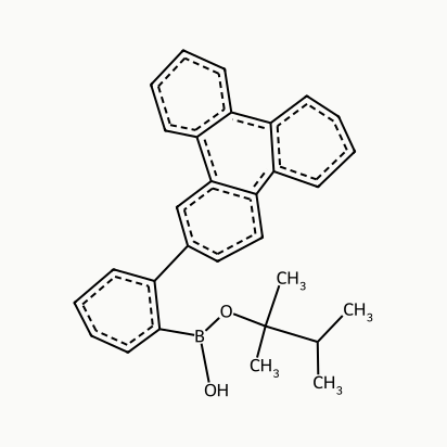 CC(C)C(C)(C)OB(O)c1ccccc1-c1ccc2c3ccccc3c3ccccc3c2c1